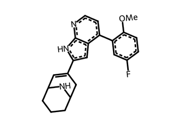 COc1ccc(F)cc1-c1ccnc2[nH]c(C3=CC4CCCC(C3)N4)cc12